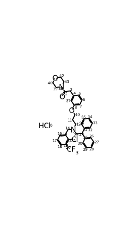 Cl.O=C(Cc1cccc(OCCCN(Cc2cccc(C(F)(F)F)c2Cl)CC(c2ccccc2)c2ccccc2)c1)N1CCOCC1